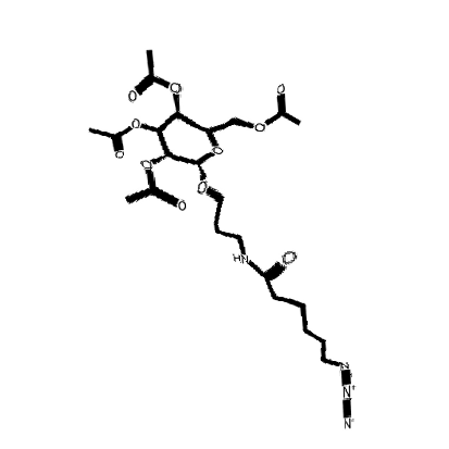 CC(=O)OCC1O[C@@H](OCCCNC(=O)CCCCCN=[N+]=[N-])[C@@H](OC(C)=O)C(OC(C)=O)[C@H]1OC(C)=O